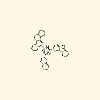 c1ccc2cc(-c3nc(-c4ccc5oc6ccccc6c5c4)nc(-c4cc5c6ccccc6ccc5c5ccccc45)n3)ccc2c1